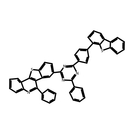 c1ccc(-c2nc(-c3ccc(-c4cccc5c4sc4ccccc45)cc3)nc(-c3ccc4sc5c6ccccc6nc(-c6ccccc6)c5c4c3)n2)cc1